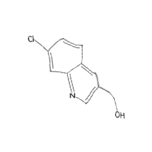 OCc1cnc2cc(Cl)ccc2c1